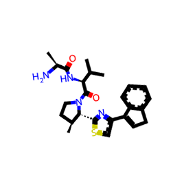 CC(C)[C@H](NC(=O)[C@H](C)N)C(=O)N1CC[C@H](C)[C@H]1c1nc(C2=CCc3ccccc32)cs1